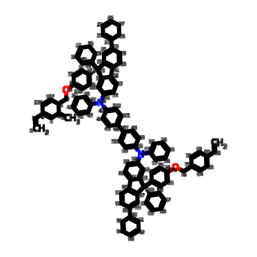 C=CC1=CC(C)C(COc2ccc([C@]3(C4=CC=CCC4)c4cc(C5=CC=CCC5)ccc4-c4ccc(N(c5ccccc5)c5ccc(-c6ccc(N(c7ccccc7)c7ccc8c(c7)[C@@](c7ccccc7)(c7ccc(OCc9ccc(C=C)cc9)cc7)c7cc(-c9ccccc9)ccc7-8)cc6)cc5)cc43)cc2)C=C1